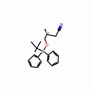 C[C@@H](CC#N)CO[Si](c1ccccc1)(c1ccccc1)C(C)(C)C